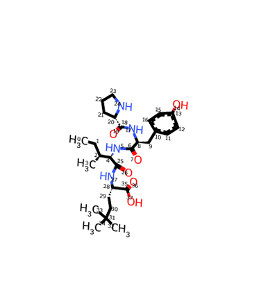 CC[C@H](C)[C@H](NC(=O)[C@H](Cc1ccc(O)cc1)NC(=O)[C@@H]1CCCN1)C(=O)N[C@@H](CCC(C)(C)C)C(=O)O